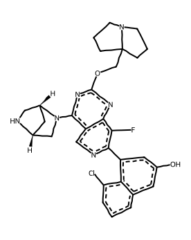 Oc1cc(-c2ncc3c(N4C[C@H]5C[C@@H]4CN5)nc(OCC45CCCN4CCC5)nc3c2F)c2c(Cl)cccc2c1